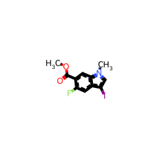 COC(=O)c1cc2c(cc1F)c(I)cn2C